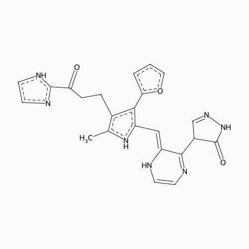 Cc1[nH]c(C=C2NC=CN=C2C2C=NNC2=O)c(-c2ccco2)c1CCC(=O)c1ncc[nH]1